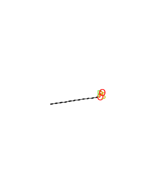 C#CC#CC#CC#CC#CC#CC#CC#CC#CC#CC#COP(F)(=S)OC